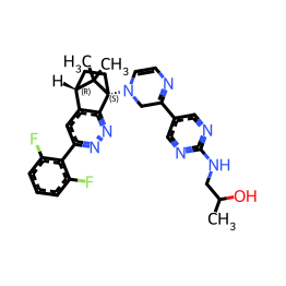 CC(O)CNc1ncc(C2=NC=CN([C@]34CC[C@@H](c5cc(-c6c(F)cccc6F)nnc53)C4(C)C)C2)cn1